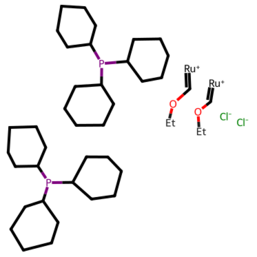 C1CCC(P(C2CCCCC2)C2CCCCC2)CC1.C1CCC(P(C2CCCCC2)C2CCCCC2)CC1.CCO[CH]=[Ru+].CCO[CH]=[Ru+].[Cl-].[Cl-]